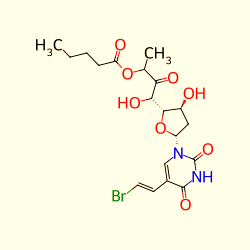 CCCCC(=O)OC(C)C(=O)C(O)[C@H]1O[C@@H](n2cc(/C=C/Br)c(=O)[nH]c2=O)C[C@@H]1O